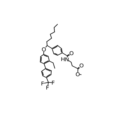 CCCCCCC(Oc1ccc(-c2ccc(C(F)(F)F)cc2)c(CC)c1)c1ccc(C(=O)NCCC(=O)OC)cc1